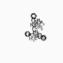 CC(CC(Cc1ccccc1)=NN(Cc1ccccc1)[Si](C)(C)C)=NN(Cc1ccccc1)[Si](C)(C)C